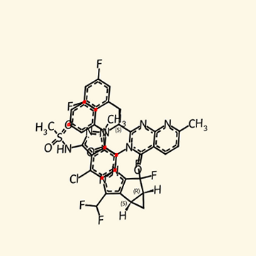 Cc1ccc2c(=O)n(-c3ccc(Cl)c4c(NS(C)(=O)=O)nn(C)c34)c([C@H](Cc3cc(F)cc(F)c3)N(C(=O)Cn3nc(C(F)F)c4c3C(F)(F)[C@@H]3C[C@H]43)c3ccccc3)nc2n1